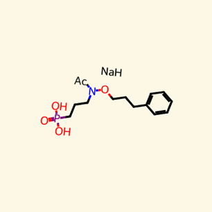 CC(=O)N(CCCP(=O)(O)O)OCCCc1ccccc1.[NaH]